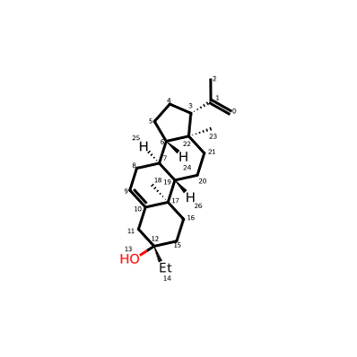 C=C(C)[C@H]1CC[C@H]2[C@@H]3CC=C4C[C@](O)(CC)CC[C@]4(C)[C@H]3CC[C@]12C